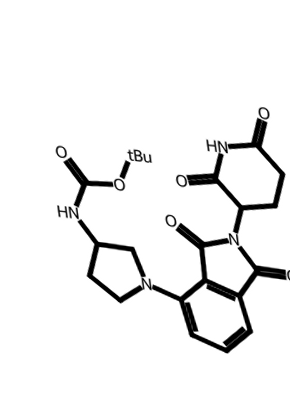 CC(C)(C)OC(=O)NC1CCN(c2cccc3c2C(=O)N(C2CCC(=O)NC2=O)C3=O)C1